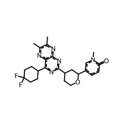 Cc1nc2nc(C3CCOC(c4ccc(=O)n(C)c4)C3)nc(C3CCC(F)(F)CC3)c2nc1C